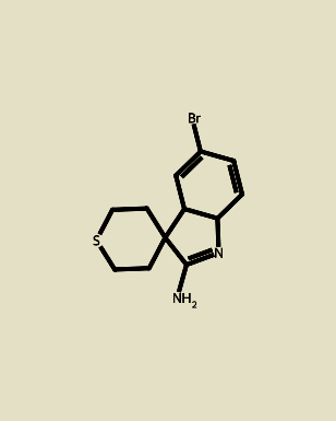 NC1=NC2C=CC(Br)=CC2C12CCSCC2